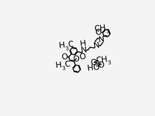 COc1ccccc1N1CCN(CCCNC(=O)c2cc(C)cc3c(=O)c(C)c(-c4ccccc4)oc23)CC1.CS(=O)(=O)O